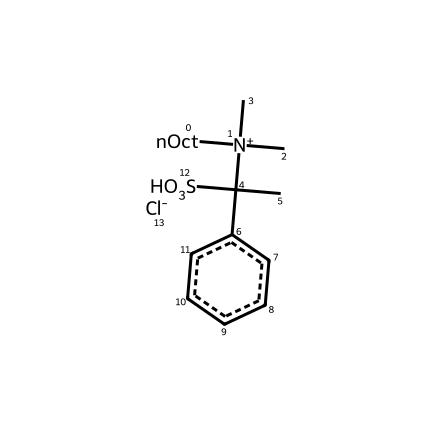 CCCCCCCC[N+](C)(C)C(C)(c1ccccc1)S(=O)(=O)O.[Cl-]